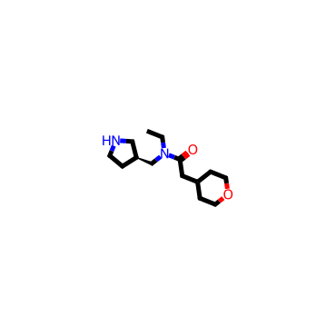 CCN(C[C@H]1CCNC1)C(=O)CC1CCOCC1